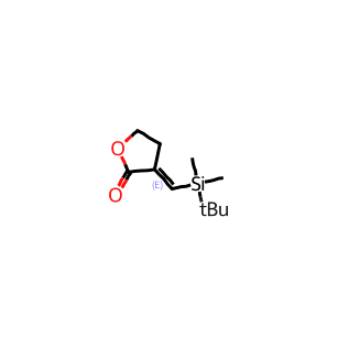 CC(C)(C)[Si](C)(C)/C=C1\CCOC1=O